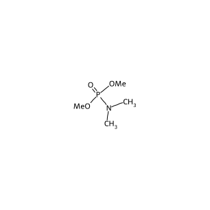 COP(=O)(OC)N(C)C